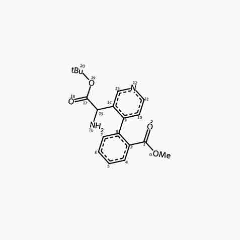 COC(=O)c1ccccc1-c1ccncc1C(N)C(=O)OC(C)(C)C